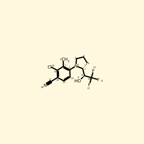 Cc1c(N2CCC[C@@H]2[C@H](O)C(F)(F)F)ccc(C#N)c1Cl